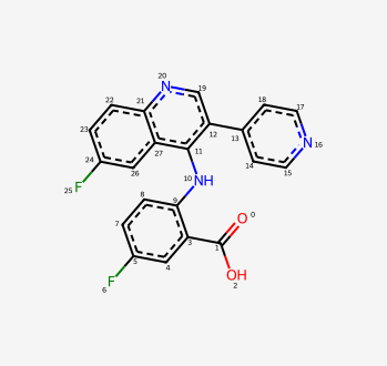 O=C(O)c1cc(F)ccc1Nc1c(-c2ccncc2)cnc2ccc(F)cc12